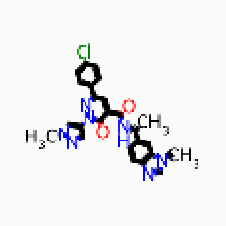 C[C@H](NC(=O)c1cc(-c2ccc(Cl)cc2)nn(-c2cnn(C)c2)c1=O)c1ccc2ncn(C)c2c1